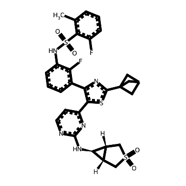 Cc1cccc(F)c1S(=O)(=O)Nc1cccc(-c2nc(C34CC(C3)C4)sc2-c2ccnc(N[C@H]3[C@@H]4CS(=O)(=O)C[C@@H]43)n2)c1F